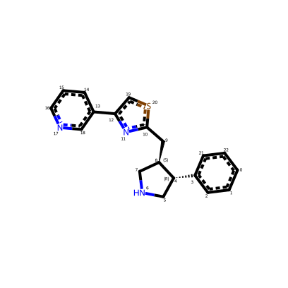 c1ccc([C@@H]2CNC[C@H]2Cc2nc(-c3cccnc3)cs2)cc1